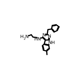 Cc1ccc2c(c1)[nH]c1nc(Cc3ccccc3)nc(NCCCN)c12